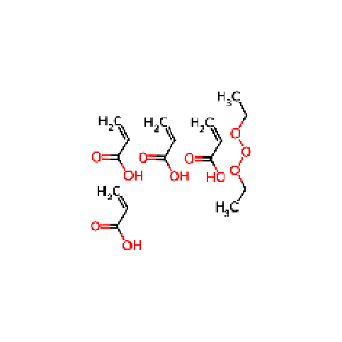 C=CC(=O)O.C=CC(=O)O.C=CC(=O)O.C=CC(=O)O.CCOOOCC